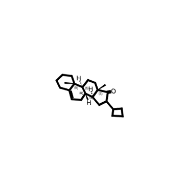 C[C@]12CCCCC1=CC[C@@H]1[C@@H]2CC[C@]2(C)C(=O)C(C3CCC3)C[C@@H]12